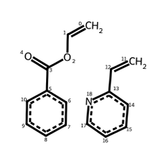 C=COC(=O)c1ccccc1.C=Cc1ccccn1